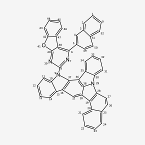 c1ccc2cc(-c3nc(-n4c5ccccc5c5cc6c7c8ccccc8ccc7n7c8ccccc8c(c54)c67)nc4oc5ccccc5c34)ccc2c1